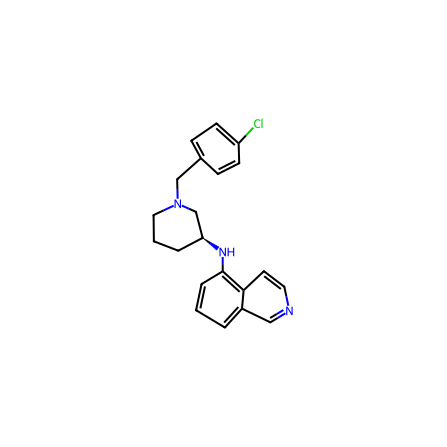 Clc1ccc(CN2CCC[C@H](Nc3cccc4cnccc34)C2)cc1